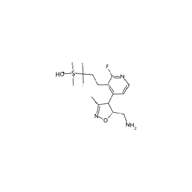 CC1=NOC(CN)C1c1ccnc(F)c1CCC(C)(C)[Si](C)(C)O